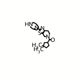 CC1(C)CCC(C(=O)N2CCc3nc(N4C5CCC4CNC5)sc3C2)C1